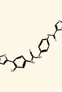 O=C(Nc1ccc(NC(=S)Nc2ccc(-c3ccno3)c(Cl)c2)cc1)c1csnn1